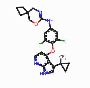 Fc1cc(NC2=NCC3(CCC3)CO2)cc(F)c1Oc1ccnc2[nH]cc(C3(C(F)(F)F)CC3)c12